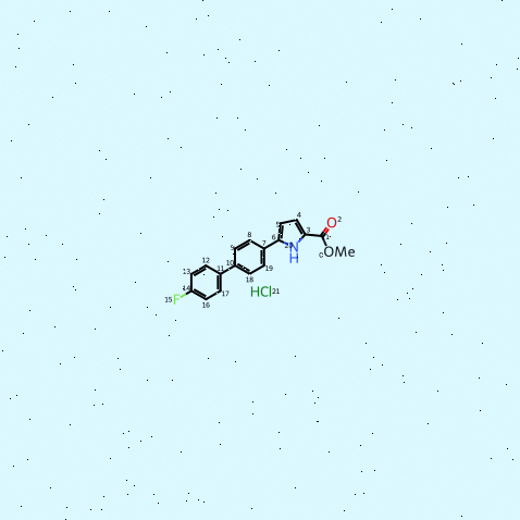 COC(=O)c1ccc(-c2ccc(-c3ccc(F)cc3)cc2)[nH]1.Cl